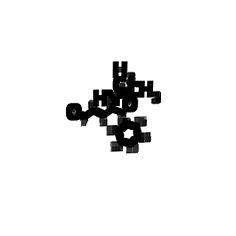 CC1(C)N[C@H](/C=C/C=O)[C@@H](c2ccccc2)O1